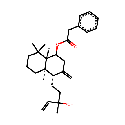 C=C[C@@](C)(O)CC[C@H]1C(=C)C[C@H](OC(=O)Cc2ccccc2)[C@H]2C(C)(C)CCC[C@]12C